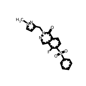 Cn1ccc(Cn2ncc3c(F)c(S(=O)(=O)c4ccccc4)ccc3c2=O)n1